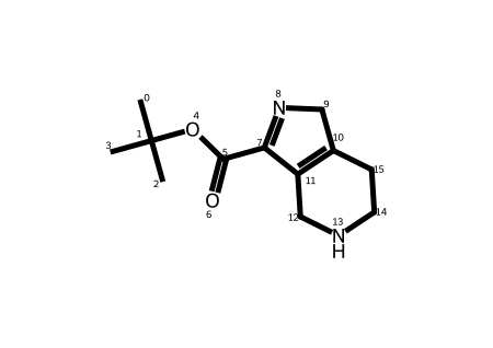 CC(C)(C)OC(=O)C1=NCC2=C1CNCC2